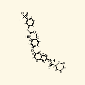 O=C(Cc1cccc(C(F)(F)F)c1)Nc1cc(Oc2ccc3nc(NC(=O)C4CCCCC4)sc3c2)ccc1F